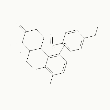 O=C1CC[C@@]2(S(=O)(=O)c3ccc(CF)cc3)c3c(F)ccc(F)c3OC[C@H]2[C@@H]1F